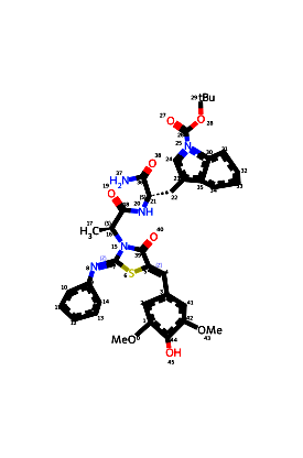 COc1cc(/C=C2\S/C(=N\c3ccccc3)N([C@@H](C)C(=O)N[C@@H](Cc3cn(C(=O)OC(C)(C)C)c4ccccc34)C(N)=O)C2=O)cc(OC)c1O